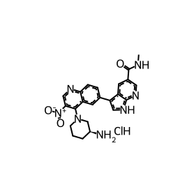 CNC(=O)c1cnc2[nH]cc(-c3ccc4ncc([N+](=O)[O-])c(N5CCC[C@H](N)C5)c4c3)c2c1.Cl